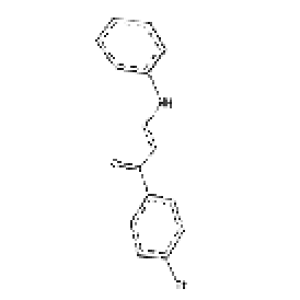 CCc1ccc(C(=O)C=CNc2ccccc2)cc1